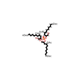 CCCCCCCCCCCCCCCCC(CC(CBr)OP(=O)(OC(CBr)CC(CCCCCCCCCCCCCCCC)OC(C)=O)OC(CBr)CC(CCCCCCCCCCCCCCCC)OC(C)=O)OC(C)=O